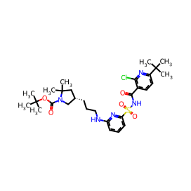 CC(C)(C)OC(=O)N1C[C@@H](CCCNc2cccc(S(=O)(=O)NC(=O)c3ccc(C(C)(C)C)nc3Cl)n2)CC1(C)C